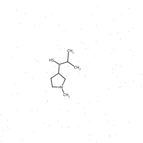 CC(C)N(S)C1CCN(C)C1